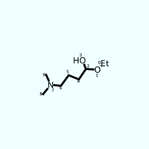 CCOC(O)CCCN(C)C